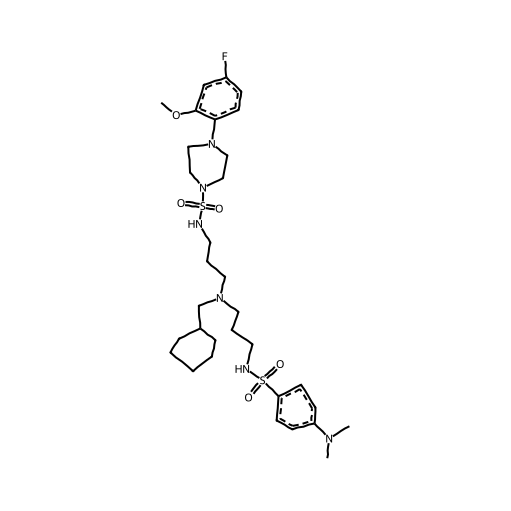 COc1cc(F)ccc1N1CCN(S(=O)(=O)NCCCN(CCCNS(=O)(=O)c2ccc(N(C)C)cc2)CC2CCCCC2)CC1